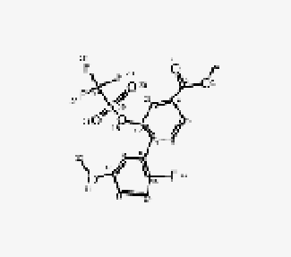 COC(=O)c1ccc(-c2cc(OC)ccc2F)c(OS(=O)(=O)C(F)(F)F)c1